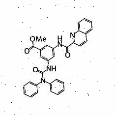 COC(=O)c1cc(NC(=O)c2ccc3ccccc3n2)cc(NC(=O)N(c2ccccc2)c2ccccc2)c1